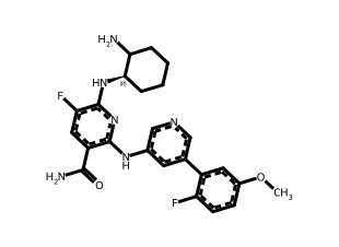 COc1ccc(F)c(-c2cncc(Nc3nc(N[C@@H]4CCCCC4N)c(F)cc3C(N)=O)c2)c1